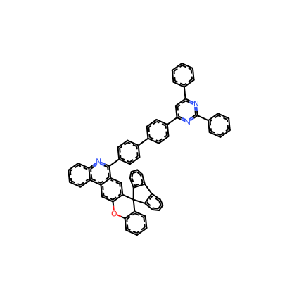 c1ccc(-c2cc(-c3ccc(-c4ccc(-c5nc6ccccc6c6cc7c(cc56)C5(c6ccccc6O7)c6ccccc6-c6ccccc65)cc4)cc3)nc(-c3ccccc3)n2)cc1